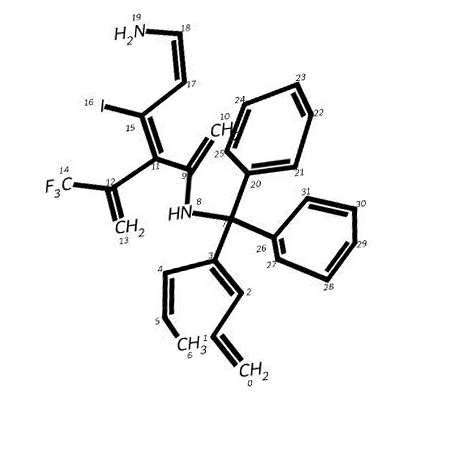 C=C/C=C(\C=C/C)C(NC(=C)/C(C(=C)C(F)(F)F)=C(I)\C=C/N)(c1ccccc1)c1ccccc1